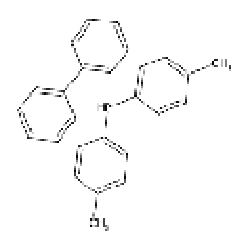 Cc1ccc(Pc2ccc(C)cc2)cc1.c1ccc(-c2ccccc2)cc1